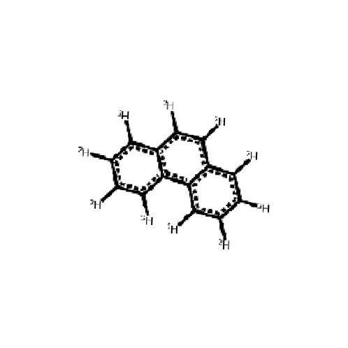 [2H]c1c([2H])c([2H])c2c(c1[2H])c([2H])c([2H])c1c([2H])c([2H])c([2H])c([2H])c12